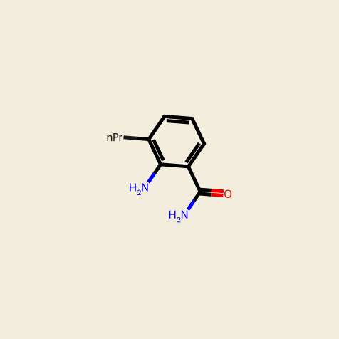 CCCc1cccc(C(N)=O)c1N